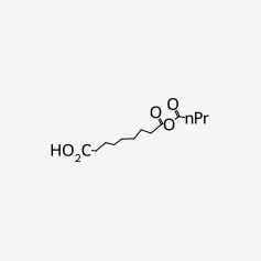 CCCC(=O)OC(=O)CCCCCCCC(=O)O